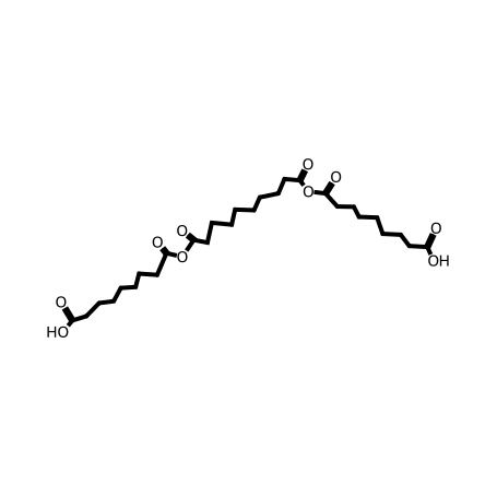 O=C(O)CCCCCCCC(=O)OC(=O)CCCCCCCCC(=O)OC(=O)CCCCCCCC(=O)O